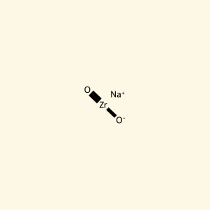 [Na+].[O]=[Zr][O-]